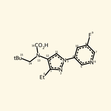 CCc1nn(-c2cncc(F)c2)cc1N(CC(C)(C)C)C(=O)O